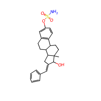 CC12CCC3c4ccc(OS(N)(=O)=O)cc4CCC3C1C/C(=C\c1ccccc1)C2O